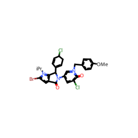 COc1ccc(Cn2cc(N3C(=O)c4cc(Br)n(C(C)C)c4C3C3=CCC(Cl)C=C3)cc(Cl)c2=O)cc1